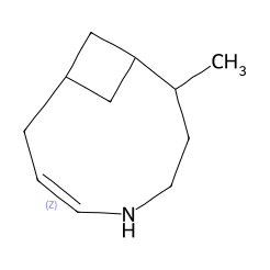 CC1CCN/C=C\CC2CC1C2